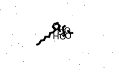 CCCCCCCCc1ccccc1OC(CC)(OCC)C(=O)O